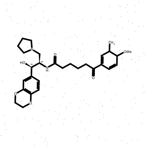 COC1C=CC(C(=O)CCCCC(=O)N[C@H](CN2CCCC2)[C@H](O)c2ccc3c(c2)OCCO3)=CC1C